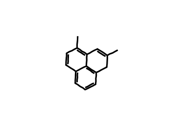 CC1=Cc2c(C)ccc3cccc(c23)C1